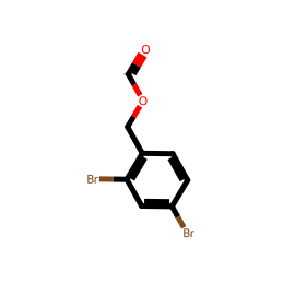 O=[C]OCc1ccc(Br)cc1Br